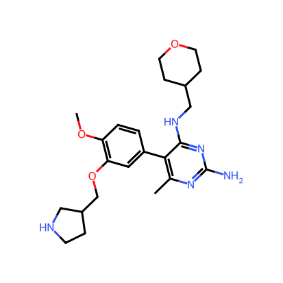 COc1ccc(-c2c(C)nc(N)nc2NCC2CCOCC2)cc1OCC1CCNC1